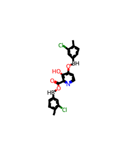 Cc1ccc(BOC(=O)c2nccc(OBc3ccc(C)c(Cl)c3)c2O)cc1Cl